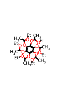 CCOC(C)Oc1c(OC(C)OCC)c(OC(C)OCC)c(OC(C)OCC)c(OC(C)OCC)c1OC(C)OCC